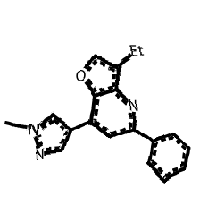 CCc1coc2c(-c3cnn(C)c3)cc(-c3ccccc3)nc12